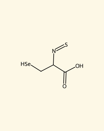 O=C(O)C(C[SeH])N=S